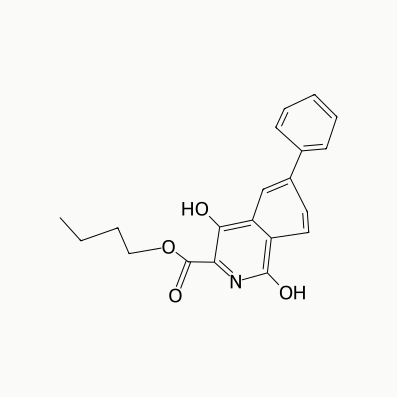 CCCCOC(=O)c1nc(O)c2ccc(-c3ccccc3)cc2c1O